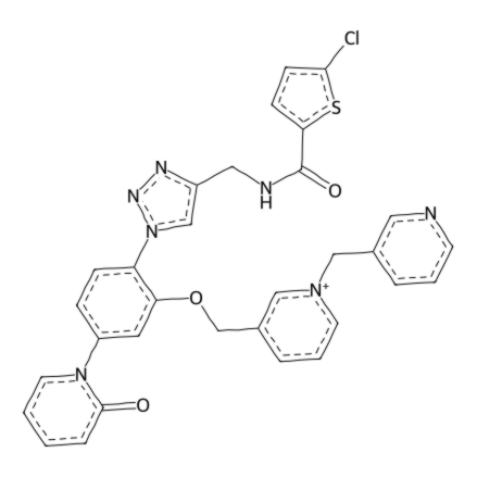 O=C(NCc1cn(-c2ccc(-n3ccccc3=O)cc2OCc2ccc[n+](Cc3cccnc3)c2)nn1)c1ccc(Cl)s1